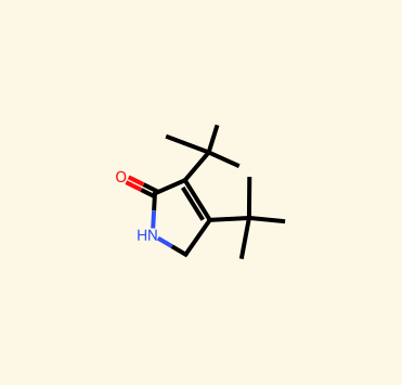 CC(C)(C)C1=C(C(C)(C)C)C(=O)NC1